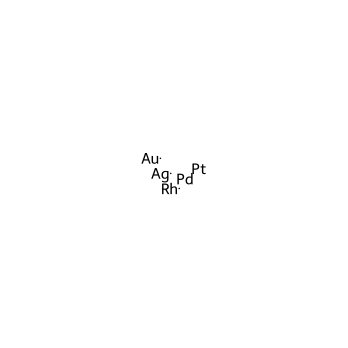 [Ag].[Au].[Pd].[Pt].[Rh]